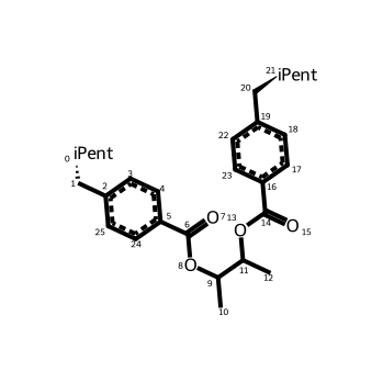 CCC[C@@H](C)Cc1ccc(C(=O)OC(C)C(C)OC(=O)c2ccc(C[C@H](C)CCC)cc2)cc1